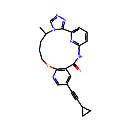 CC1CCCOc2ncc(C#CC3CC3)cc2C(=O)Nc2cccc(n2)-c2nncn21